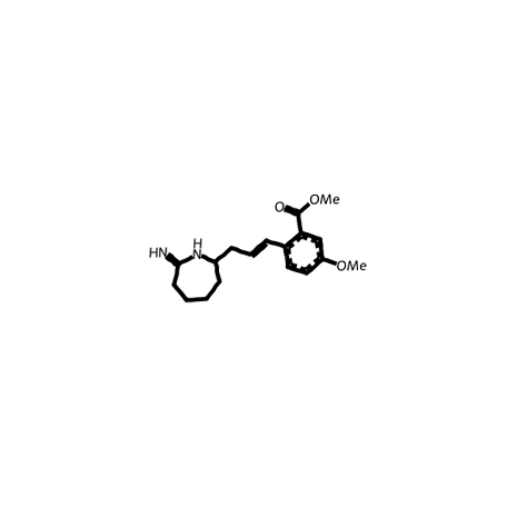 COC(=O)c1cc(OC)ccc1C=CCC1CCCCC(=N)N1